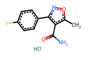 Cc1onc(-c2ccc(F)cc2)c1C(N)=O.Cl